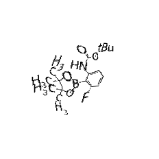 CC(C)(C)OC(=O)Nc1cccc(F)c1B1OC(C)(C)C(C)(C)O1